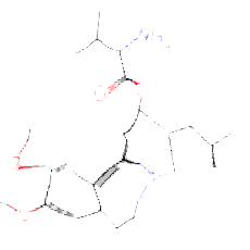 COC1=CC2=C3CC(OC(=O)C(N)C(C)C)C(CC(C)C)CN3CCC2C=C1OC